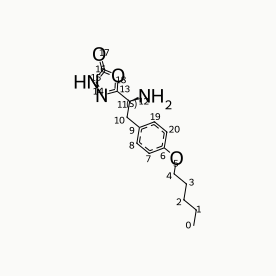 CCCCCOc1ccc(C[C@H](N)c2n[nH]c(=O)o2)cc1